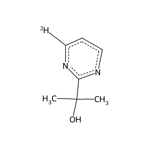 [2H]c1ccnc(C(C)(C)O)n1